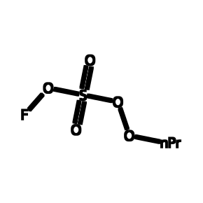 CCCOOS(=O)(=O)OF